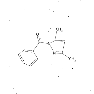 Cc1cc(C)n(C(=O)c2ccccc2)n1